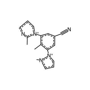 Cc1c(-[n+]2cccnc2C)cc(C#N)cc1-[n+]1cccn1C